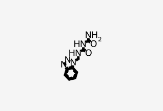 NC(=O)NC(=O)NCn1nnc2ccccc21